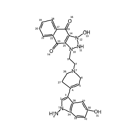 Nn1cc(C2=CCN(CCn3[nH]n(O)c4c(=O)c5ccccc5c(=O)c3=4)CC2)c2cc(O)ccc21